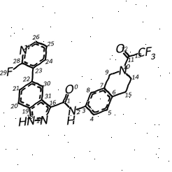 O=C(Nc1ccc2c(c1)CN(C(=O)C(F)(F)F)CC2)c1n[nH]c2ccc(-c3cccnc3F)cc12